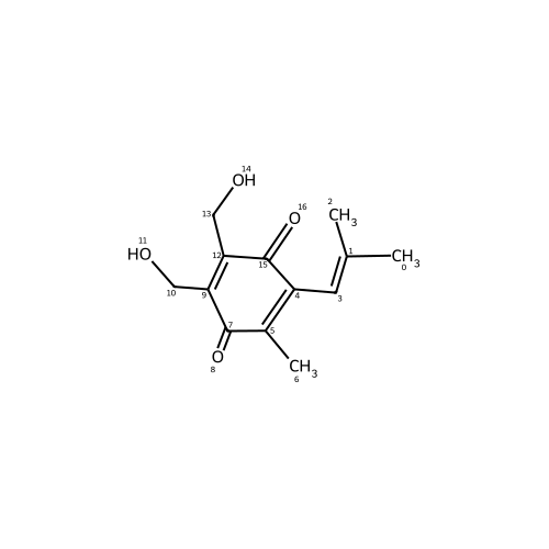 CC(C)=CC1=C(C)C(=O)C(CO)=C(CO)C1=O